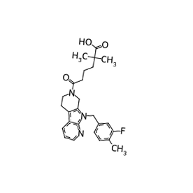 Cc1ccc(Cn2c3c(c4cccnc42)CCN(C(=O)CCCC(C)(C)C(=O)O)C3)cc1F